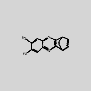 Sc1cc2nc3c(nc2cc1S)C1C=CC3CC1